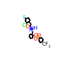 O=C(Cc1ccc(F)cc1Cl)N/N=C/c1ccccc1OS(=O)(=O)c1ccc(C(F)(F)F)cc1